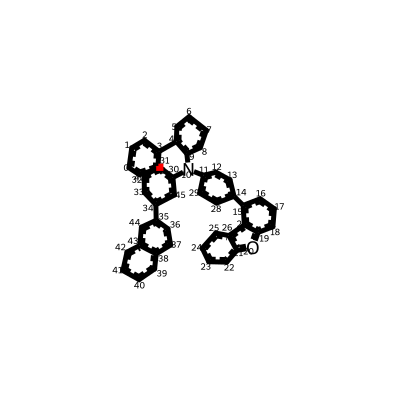 c1ccc(-c2ccccc2N(c2ccc(-c3cccc4oc5ccccc5c34)cc2)c2cccc(-c3ccc4ccccc4c3)c2)cc1